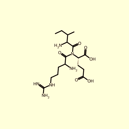 CCC(C)C(N)C(=O)N(C(=O)C(N)CCCNC(=N)N)[C@@H](CCC(=O)O)C(=O)O